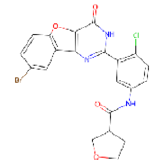 O=C(Nc1ccc(Cl)c(-c2nc3c(oc4ccc(Br)cc43)c(=O)[nH]2)c1)C1CCOC1